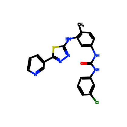 Cc1ccc(NC(=O)Nc2cccc(Cl)c2)cc1Nc1nnc(-c2cccnc2)s1